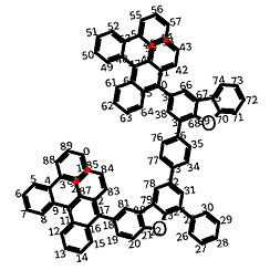 c1ccc(-c2ccccc2-c2c3ccccc3c(-c3ccc4oc5c(-c6ccccc6)cc(-c6ccc(-c7cc(-c8c9ccccc9c(-c9ccccc9-c9ccccc9)c9ccccc89)cc8c7oc7ccccc78)cc6)cc5c4c3)c3ccccc23)cc1